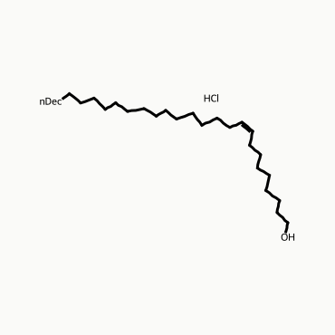 CCCCCCCCCCCCCCCCCCCCCCCC/C=C\CCCCCCCCO.Cl